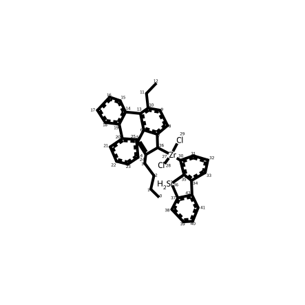 CCCCC1=Cc2c(ccc(CC)c2-c2ccccc2-c2ccccc2)[CH]1[Zr]([Cl])([Cl])[c]1cccc2c1[SiH2]c1ccccc1-2